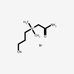 C[N+](C)(CCCC#N)CC(N)=O.[Br-]